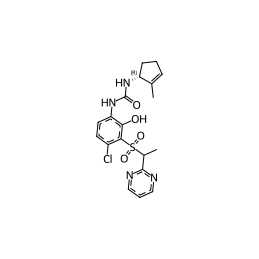 CC1=CCC[C@H]1NC(=O)Nc1ccc(Cl)c(S(=O)(=O)C(C)c2ncccn2)c1O